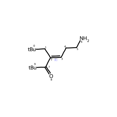 CC(C)(C)C/C(=C\CCN)C(=O)C(C)(C)C